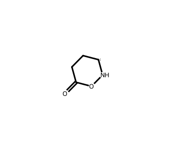 O=C1CC[C]NO1